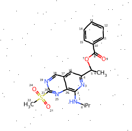 CC(C)Nc1nc(C(C)OC(=O)c2ccccc2)cc2cnc(S(C)(=O)=O)nc12